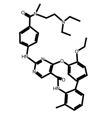 CCOc1ccccc1Oc1nc(Nc2ccc(C(=O)N(C)CCN(CC)CC)cc2)ncc1C(=O)Nc1c(C)cccc1C